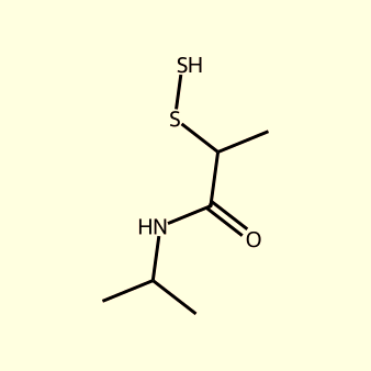 CC(C)NC(=O)C(C)SS